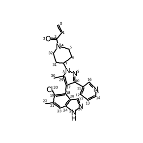 C=CC(=O)N1CCC(n2nc(-c3cccnc3)c(-c3c(Cl)c(C)cc4[nH]ncc34)c2C)CC1